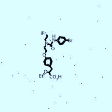 CCOC(Cc1ccc(OCCN(CCC(C)C)C(=O)Nc2ccc(Br)cc2)cc1)C(=O)O